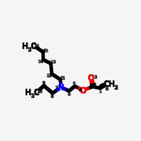 C=CC(=O)OCCN(CCC)CCCCCC